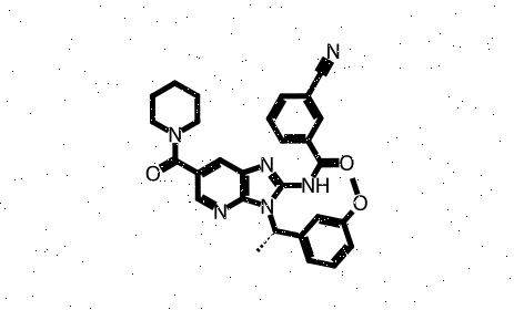 COc1cccc([C@H](C)n2c(NC(=O)c3cccc(C#N)c3)nc3cc(C(=O)N4CCCCC4)cnc32)c1